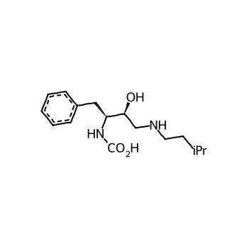 CC(C)CCNC[C@H](O)[C@H](Cc1ccccc1)NC(=O)O